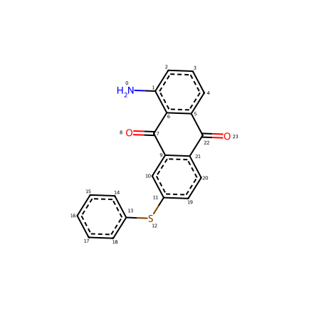 Nc1cccc2c1C(=O)c1cc(Sc3ccccc3)ccc1C2=O